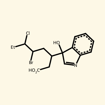 CCC(Cl)C(Br)CC(CC(=O)O)C1(O)C=Nc2ccccc21